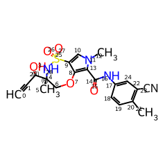 C#C[C@@H](O)[C@@]1(C)COc2c(cn(C)c2C(=O)Nc2ccc(C)c(C#N)c2)S(=O)(=O)N1